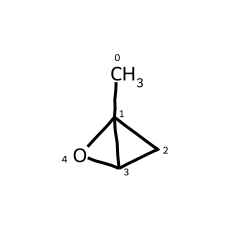 CC12CC1O2